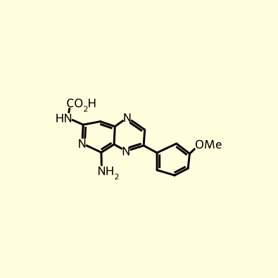 COc1cccc(-c2cnc3cc(NC(=O)O)nc(N)c3n2)c1